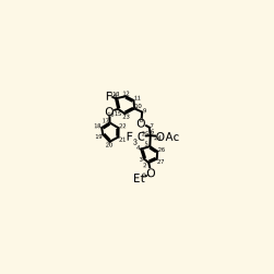 CCOc1ccc(C(COCc2ccc(F)c(Oc3ccccc3)c2)(OC(C)=O)C(F)(F)F)cc1